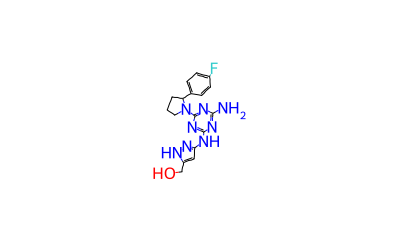 Nc1nc(Nc2cc(CO)[nH]n2)nc(N2CCCC2c2ccc(F)cc2)n1